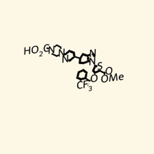 COC(=O)c1sc(-n2cnc3cc(-c4ccc(N5CCN(C(=O)O)CC5)nc4)ccc32)cc1O[C@H](C)c1ccccc1C(F)(F)F